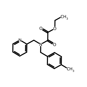 CCOC(=O)C(=O)N(Cc1ccc(C)cc1)Cc1ccccn1